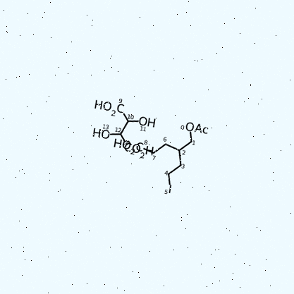 CC(=O)OCC(CCI)CCC(=O)O.O=C(O)C(O)C(O)C(=O)O